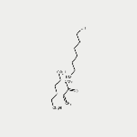 C=CC(=O)OC.O=C(O)CCCCC(=O)O.OCCCCCCO